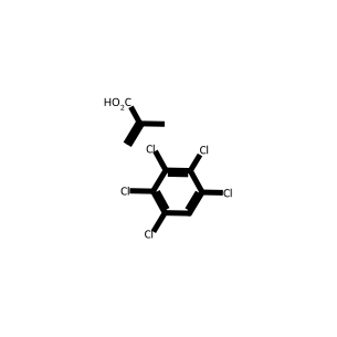 C=C(C)C(=O)O.Clc1cc(Cl)c(Cl)c(Cl)c1Cl